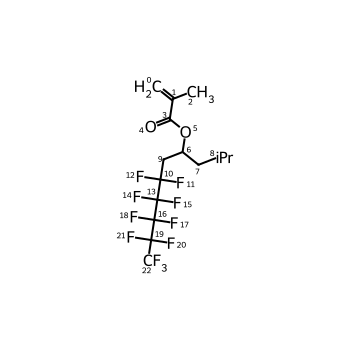 C=C(C)C(=O)OC(CC(C)C)CC(F)(F)C(F)(F)C(F)(F)C(F)(F)C(F)(F)F